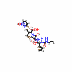 CCCNC(=O)NC(C(=O)N[C@]1(OC)C(=O)N2C(C(=O)O)=C(CSc3ccc[n+]([O-])n3)CSC21)c1cccs1